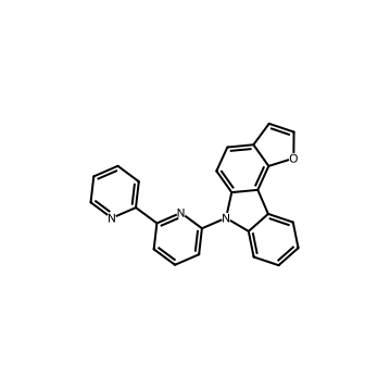 c1ccc(-c2cccc(-n3c4ccccc4c4c5occc5ccc43)n2)nc1